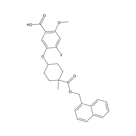 COc1cc(F)c(OC2CCC(C)(C(=O)OCc3cccc4ccccc34)CC2)cc1C(=O)O